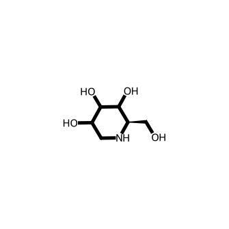 OC[C@H]1NCC(O)C(O)C1O